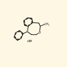 Br.CC1Cc2ccccc2N(c2ccccc2)CCO1